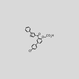 O=C(O)COc1ccc(-c2ccc(Cl)cc2)cc1C(=O)c1cnn(-c2ccccc2)c1